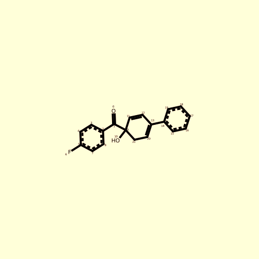 O=C(c1ccc(F)cc1)C1(O)C=CC(c2ccccc2)=CC1